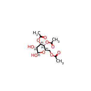 CC(=O)OC[C@H]1O[C@@H](O)[C@H](O)[C@@H](OC(C)=O)[C@@H]1OC(C)=O